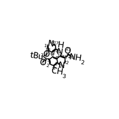 Cc1cc(S(=O)(=O)C(C)(C)C)cc2c(Nc3cccnc3)c(C(N)=O)cnc12